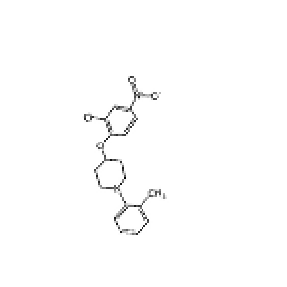 Cc1ccccc1N1CCC(Oc2ccc([N+](=O)[O-])cc2Cl)CC1